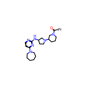 CC(C)C(=O)N1CCCC(N2CCC(Nc3nccc(N4CCCCCC4)n3)C2)C1